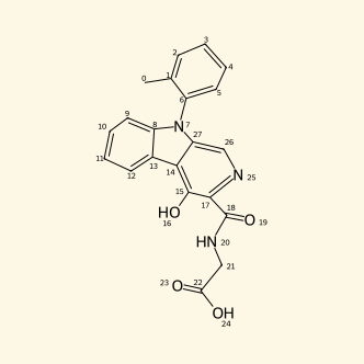 Cc1ccccc1-n1c2ccccc2c2c(O)c(C(=O)NCC(=O)O)ncc21